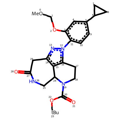 COCOc1cc(C2CC2)ccc1-n1nc2c3c1CCN(C(=O)OC(C)(C)C)C3CNC(=O)C2